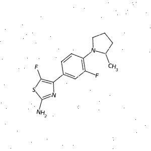 CC1CCCN1c1ccc(-c2nc(N)sc2F)cc1F